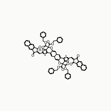 O=C1C(=Cc2nc3c(s2)C2=CC4C=C5OC(C(=O)OCc6ccccc6)(C(=O)OCc6ccccc6)c6nc(/C=C7/C(=O)c8cc9ccccc9cc8C7O)sc6C5=CC4C=C2OC3(C(=O)OCc2ccccc2)C(=O)OCc2ccccc2)C(=O)c2cc3ccccc3cc21